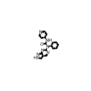 O=C(Nc1ccncc1)N(c1ccccc1)c1ncc2c[nH]nc2n1